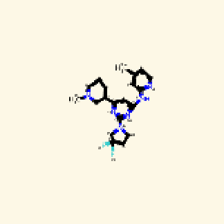 Cc1ccnc(Nc2cc(C3CCCN(C)C3)nc(N3CCC(F)(F)C3)n2)c1